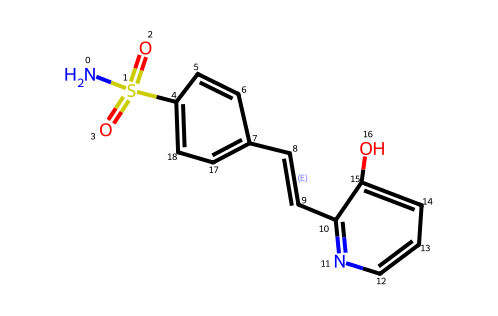 NS(=O)(=O)c1ccc(/C=C/c2ncccc2O)cc1